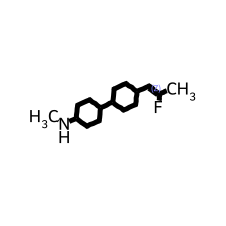 CNC1CCC(C2CCC(/C=C(/C)F)CC2)CC1